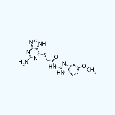 COc1ccc2[nH]c(NC(=O)CSc3nc(N)nc4nc[nH]c34)nc2c1